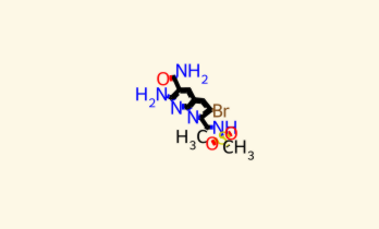 CC(NS(C)(=O)=O)c1nc2nc(N)c(C(N)=O)cc2cc1Br